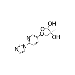 C[C@](O)(COc1ccc(-n2ccnc2)nc1)C(=O)O